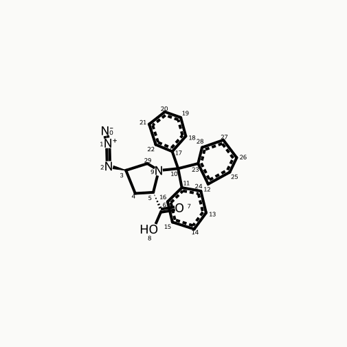 [N-]=[N+]=N[C@@H]1C[C@@H](C(=O)O)N(C(c2ccccc2)(c2ccccc2)c2ccccc2)C1